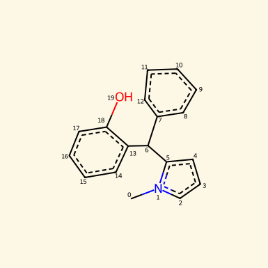 Cn1cccc1C(c1ccccc1)c1ccccc1O